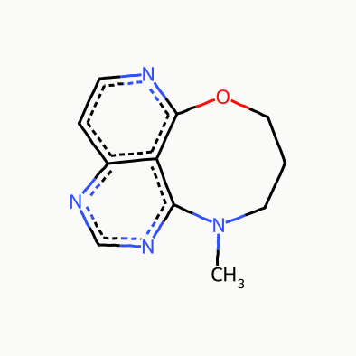 CN1CCCOc2nccc3ncnc1c23